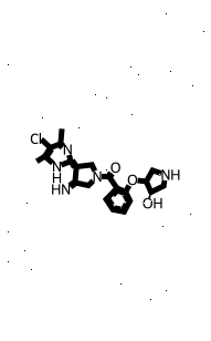 CC1=N/C(=C2\CN(C(=O)c3ccccc3OC3CNC[C@@H]3O)CC2=N)NC(C)=C1Cl